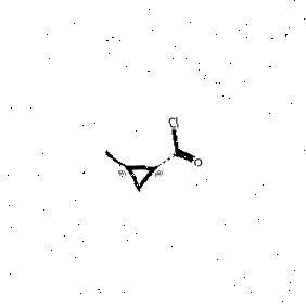 C[C@@H]1C[C@H]1C(=O)Cl